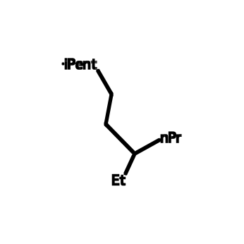 CCC[C](C)CCC(CC)CCC